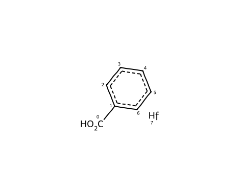 O=C(O)c1ccccc1.[Hf]